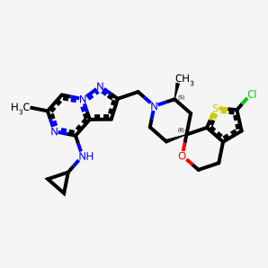 Cc1cn2nc(CN3CC[C@]4(C[C@@H]3C)OCCc3cc(Cl)sc34)cc2c(NC2CC2)n1